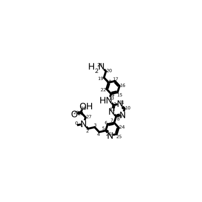 CN(CCCc1cc(-c2ncnc(Nc3cccc(CCN)c3)n2)ccn1)CC(=O)O